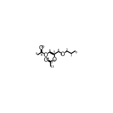 CCCOCC(=COC(C)=O)OC(C)=O